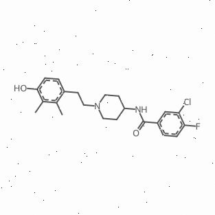 Cc1c(O)ccc(CCN2CCC(NC(=O)c3ccc(F)c(Cl)c3)CC2)c1C